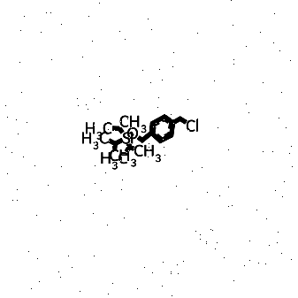 CC(C)[Si](OCc1ccc(CCl)cc1)(C(C)C)C(C)C